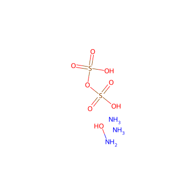 N.N.NO.O=S(=O)(O)OS(=O)(=O)O